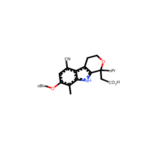 CCCCOc1cc(C#N)c2c3c([nH]c2c1C)C(CCC)(CC(=O)O)OCC3